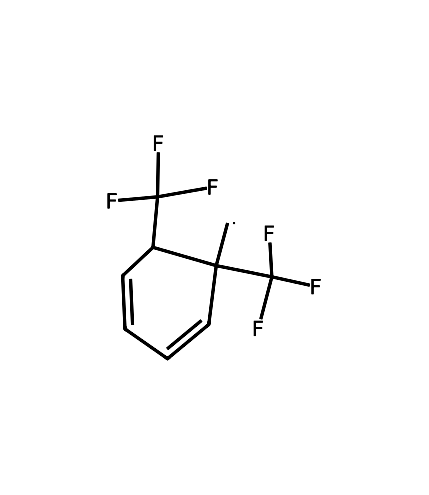 [CH2]C1(C(F)(F)F)C=CC=CC1C(F)(F)F